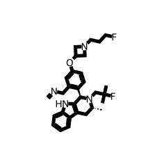 C=NCc1cc(OC2CN(CCCF)C2)ccc1[C@@H]1c2[nH]c3ccccc3c2C[C@@H](C)N1CC(C)(C)F